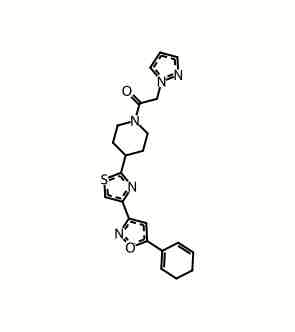 O=C(Cn1cccn1)N1CCC(c2nc(-c3cc(C4=CCCC=C4)on3)cs2)CC1